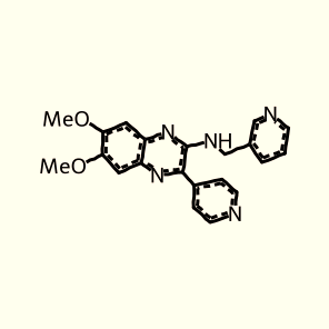 COc1cc2nc(NCc3cccnc3)c(-c3ccncc3)nc2cc1OC